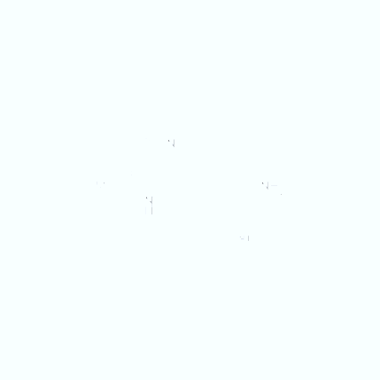 CCC(C)CC(CN)c1noc(=O)[nH]1